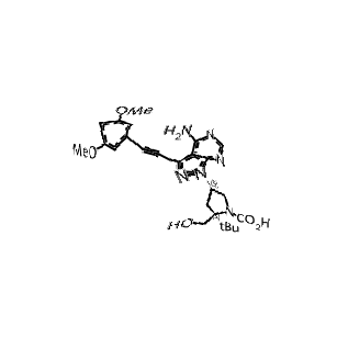 COc1cc(C#Cc2nn([C@@H]3CN(C(=O)O)[C@](CO)(C(C)(C)C)C3)c3ncnc(N)c23)cc(OC)c1